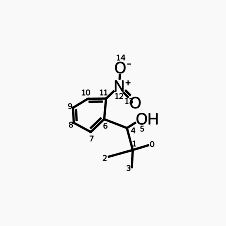 CC(C)(C)C(O)c1ccccc1[N+](=O)[O-]